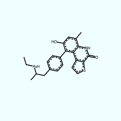 CC[AsH]C(C)Cc1ccc(-c2c(O)cc(C)c3[nH]c(=O)c4sccc4c23)cc1